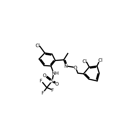 C/C(=N\OCc1cccc(Cl)c1Cl)c1cc(Cl)ccc1NS(=O)(=O)C(F)(F)F